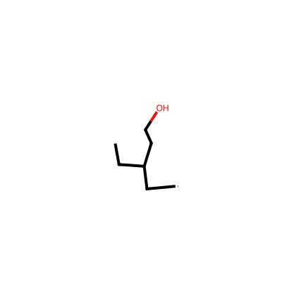 [CH2]CC(CC)CCO